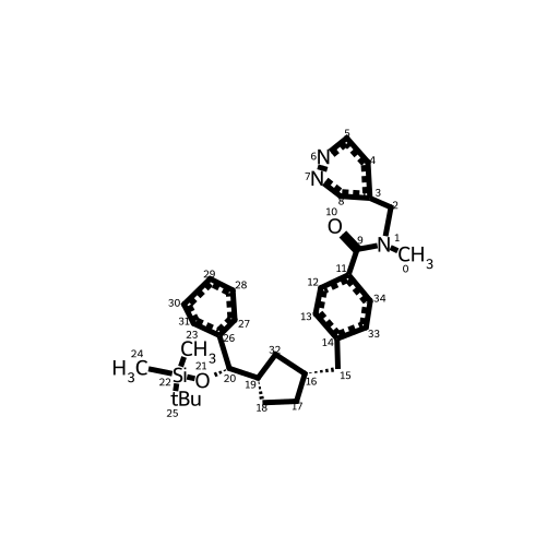 CN(Cc1ccnnc1)C(=O)c1ccc(C[C@@H]2CC[C@H]([C@H](O[Si](C)(C)C(C)(C)C)c3ccccc3)C2)cc1